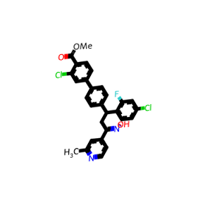 COC(=O)c1ccc(-c2ccc(C(C/C(=N\O)c3ccnc(C)c3)c3ccc(Cl)cc3F)cc2)cc1Cl